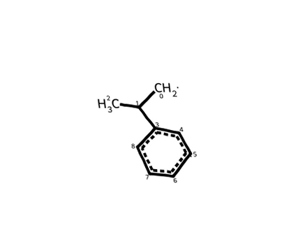 [CH2]C(C)c1c[c]ccc1